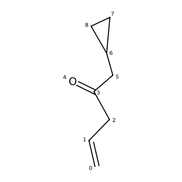 C=CCC(=O)CC1CC1